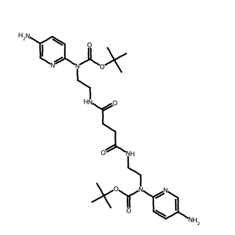 CC(C)(C)OC(=O)N(CCNC(=O)CCC(=O)NCCN(C(=O)OC(C)(C)C)c1ccc(N)cn1)c1ccc(N)cn1